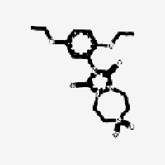 CCOc1ccc(OCC)c(-n2c(=O)n3n(c2=O)CCS(=O)(=O)CC3)c1